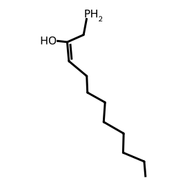 CCCCCCCC/C=C(/O)CP